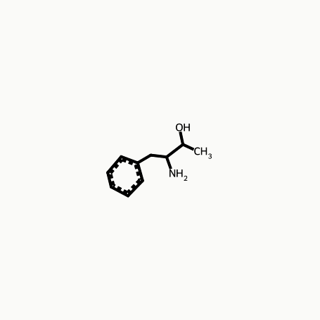 CC(O)C(N)Cc1ccccc1